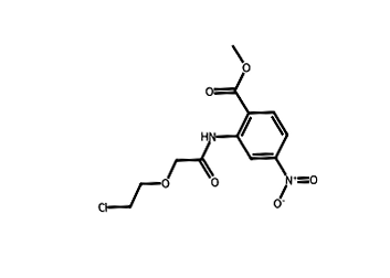 COC(=O)c1ccc([N+](=O)[O-])cc1NC(=O)COCCCl